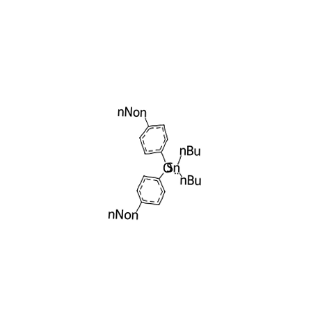 CCCCCCCCCc1ccc(Oc2ccc(CCCCCCCCC)cc2)cc1.CCC[CH2][Sn][CH2]CCC